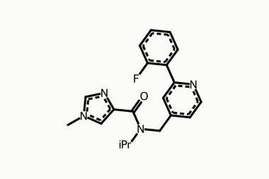 CC(C)N(Cc1ccnc(-c2ccccc2F)c1)C(=O)c1cn(C)cn1